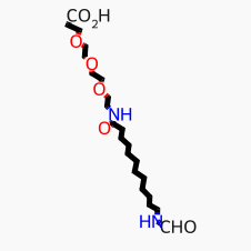 O=CNCCCCCCCCCCCC(=O)NCCOCCOCCOCCC(=O)O